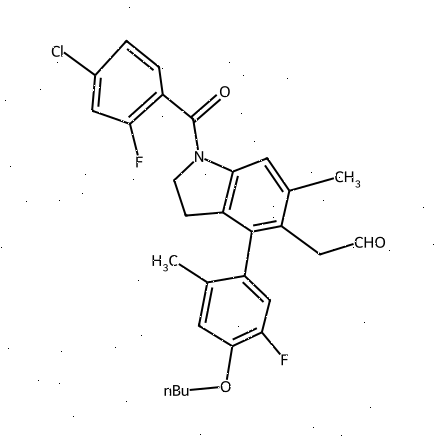 CCCCOc1cc(C)c(-c2c(CC=O)c(C)cc3c2CCN3C(=O)c2ccc(Cl)cc2F)cc1F